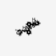 C[C@@H]1CN(CCOc2ccccc2-c2nc3c(C(=O)Nc4ccccn4)cccc3[nH]2)C[C@H](C)O1